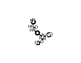 O=C(Nc1ccc(-c2nc(OC3CCOC3)nc(N3CCOCC3)n2)cc1)Nc1ccnnc1